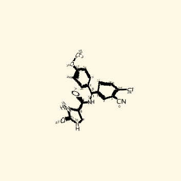 N#Cc1cc([C@@H](NC(=O)C2CNC(=O)N2)c2ccc(OC(F)(F)F)cc2)ccc1Cl